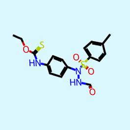 CCOC(=S)Nc1ccc(N(NC=O)S(=O)(=O)c2ccc(C)cc2)cc1